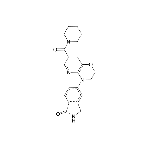 O=C1NCc2cc(N3CCOC4=C3N=CC(C(=O)N3CCCCC3)C4)ccc21